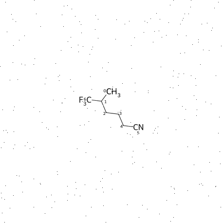 CC(CCCC#N)C(F)(F)F